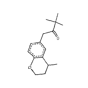 CC1CCOc2ccc(CC(=O)C(C)(C)C)cc21